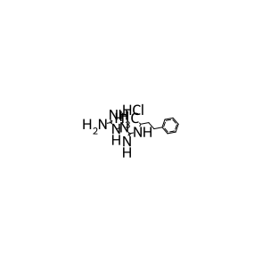 CC(CCc1ccccc1)NC(=N)NNC(=N)N.Cl